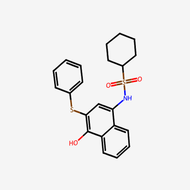 O=S(=O)(Nc1cc(Sc2ccccc2)c(O)c2ccccc12)C1CCCCC1